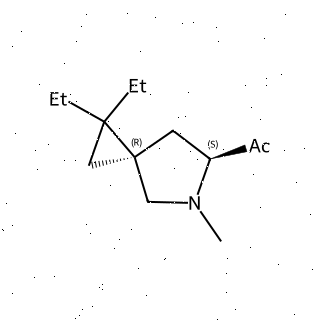 CCC1(CC)C[C@@]12C[C@@H](C(C)=O)N(C)C2